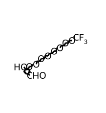 O=Cc1ccc(O)c(OCCOCCOCCOCCOCCOCCOCCOCC(F)(F)F)c1